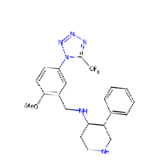 COc1ccc(-n2nnnc2C(F)(F)F)cc1CNC1CCNCC1c1ccccc1